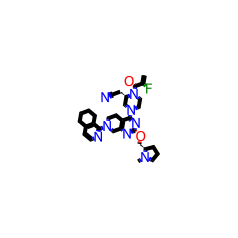 C=C(F)C(=O)N1CCN(c2nc(OC[C@@H]3CCCN3C)nc3c2CCN(c2nccc4c2CCCC4)C3)C[C@@H]1CC#N